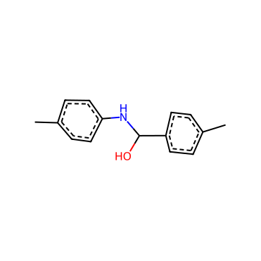 Cc1ccc(NC(O)c2ccc(C)cc2)cc1